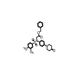 COc1ccc(S(=O)(=O)N(CC(=O)OCc2ccccc2)c2ccc(N3CCC(=O)CC3)cc2)cc1OC